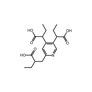 CCC(Cc1cc(C(CC)C(=O)O)c(C(CC)C(=O)O)cn1)C(=O)O